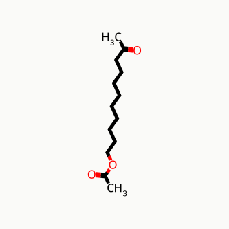 CC(=O)CCCCCCCCCOC(C)=O